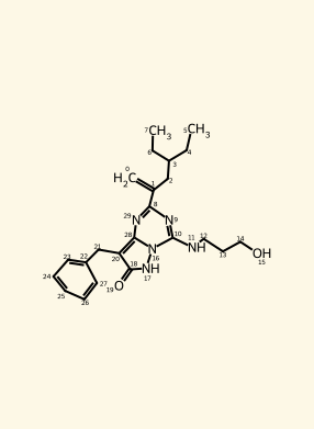 C=C(CC(CC)CC)c1nc(NCCCO)n2[nH]c(=O)c(Cc3ccccc3)c2n1